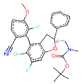 COc1ccc(C#N)c(-c2c(Cl)c(F)cc3c2C[C@@](CN(C)C(=O)OC(C)(C)C)(c2ccccc2)O3)c1F